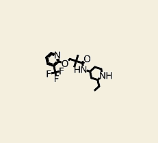 CCC1CC(NC(=O)C(C)(C)COc2ncccc2C(F)(F)F)CCN1